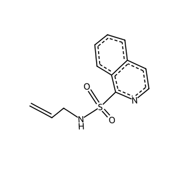 C=CCNS(=O)(=O)c1nccc2ccccc12